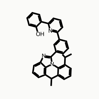 CC(C)c1cccc2c1-n1c(-c3cccc(-c4cccc(-c5ccccc5O)n4)c3)nc3cccc(c31)C2C